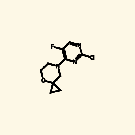 Fc1cnc(Cl)nc1N1CCOC2(CC2)C1